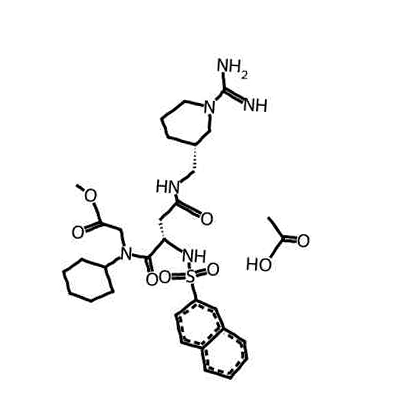 CC(=O)O.COC(=O)CN(C(=O)[C@H](CC(=O)NC[C@@H]1CCCN(C(=N)N)C1)NS(=O)(=O)c1ccc2ccccc2c1)C1CCCCC1